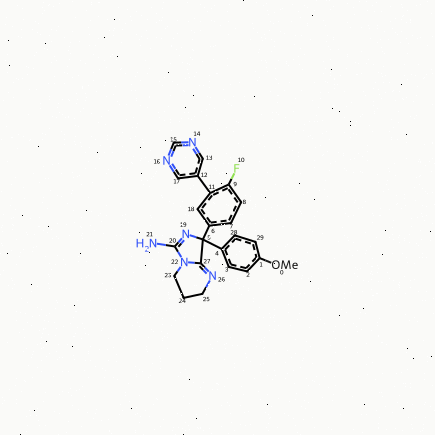 COc1ccc(C2(c3ccc(F)c(-c4cncnc4)c3)N=C(N)N3CCCN=C32)cc1